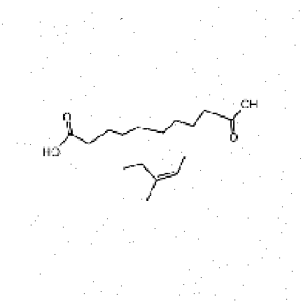 CC=C(C)CC.O=C(O)CCCCCCCCC(=O)O